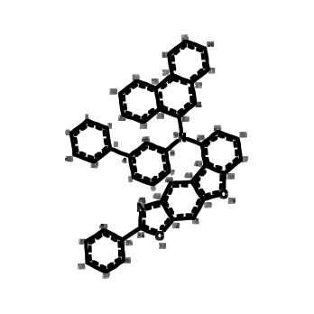 c1ccc(-c2cccc(N(c3cc4ccccc4c4ccccc34)c3cccc4oc5cc6oc(-c7ccccc7)nc6cc5c34)c2)cc1